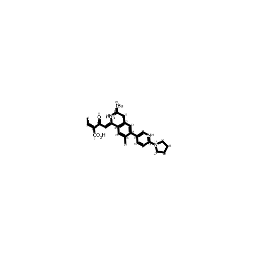 C/C=C(/C(=O)O)C(=O)/C=C1\NC(C(C)(C)C)Cc2cc(-c3ccc(N4CCCC4)nc3)c(C)cc21